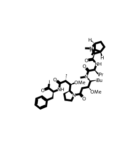 CC[C@H](C)[C@@H]([C@@H](CC(=O)N1CCC[C@H]1[C@H](OC)[C@@H](C)C(=O)N[C@@H](Cc1ccccc1)C(=O)I)OC)N(C)C(=O)[C@@H](NC(=O)[C@@H]1[C@H]2CC[C@@H]([C@H]2C)N1C)C(C)C